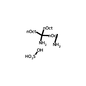 CCCCCCCCC(N)(CCCCCCCC)CCCCCCCC.CN.O=S(=O)(O)O